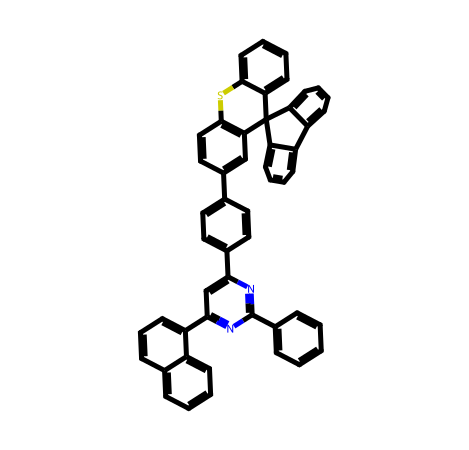 c1ccc(-c2nc(-c3ccc(-c4ccc5c(c4)C4(c6ccccc6S5)c5ccccc5-c5ccccc54)cc3)cc(-c3cccc4ccccc34)n2)cc1